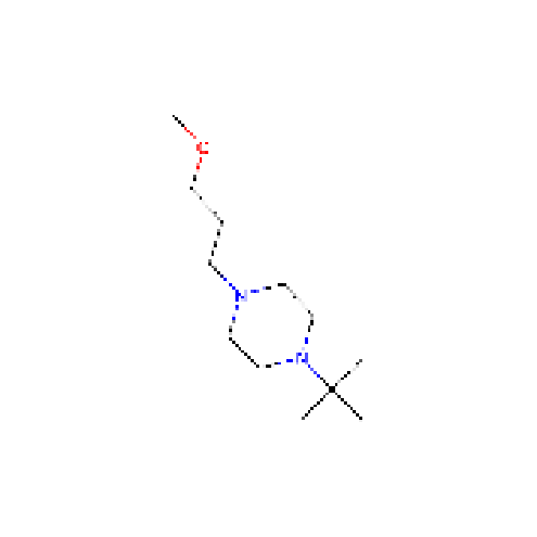 COCCCN1CCN(C(C)(C)C)CC1